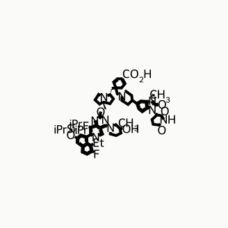 CCc1c(F)ccc2cc(O[Si](C(C)C)(C(C)C)C(C)C)cc(-c3ncc4c(N5CCC[C@@](C)(O)C5)nc(OC[C@@]56CCCN5[C@H](CC5(CN7CCC(c8ccc9c(c8)n(C)c(=O)n9C8CCC(=O)NC8=O)CC7)C=CC(C(=O)O)=CC5)CC6)nc4c3F)c12